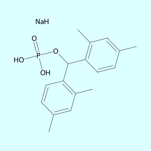 Cc1ccc(C(OP(=O)(O)O)c2ccc(C)cc2C)c(C)c1.[NaH]